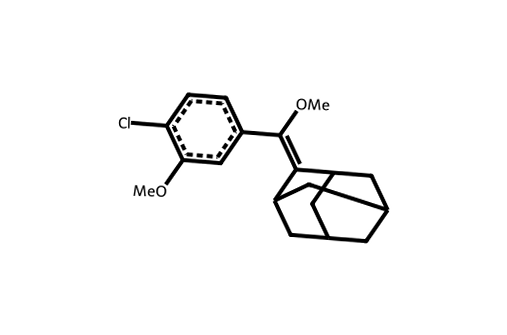 COC(=C1C2CC3CC(C2)CC1C3)c1ccc(Cl)c(OC)c1